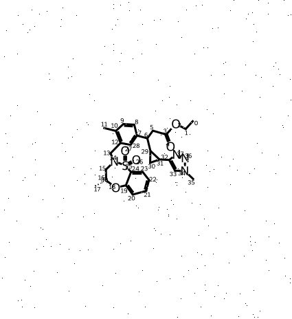 CCOC(=O)CC(c1ccc(C)c(CN2C[C@@H](C)Oc3ccccc3S2(=O)=O)c1)C1CC1c1cn(C)nn1